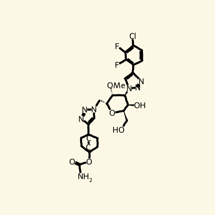 CO[C@@H]1[C@@H](n2cc(-c3ccc(Cl)c(F)c3F)nn2)[C@@H](O)[C@@H](CO)O[C@@H]1Cn1cc(C23CCC(OC(N)=O)(CC2)CC3)nn1